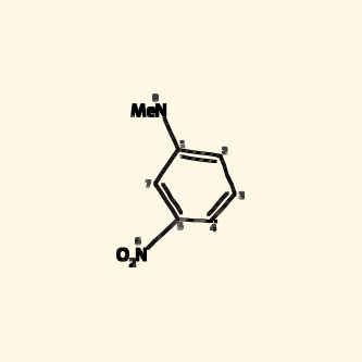 CNc1cc[c]c([N+](=O)[O-])c1